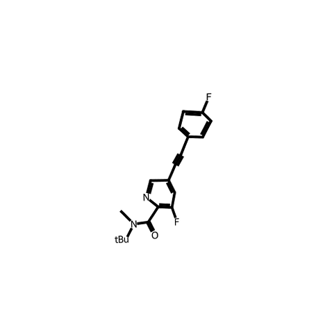 CN(C(=O)c1ncc(C#Cc2ccc(F)cc2)cc1F)C(C)(C)C